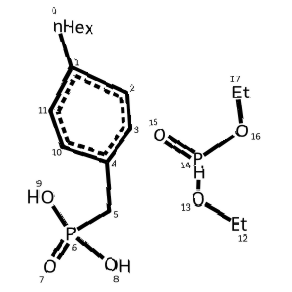 CCCCCCc1ccc(CP(=O)(O)O)cc1.CCO[PH](=O)OCC